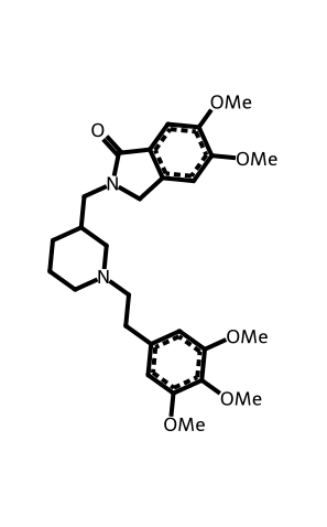 COc1cc2c(cc1OC)C(=O)N(CC1CCCN(CCc3cc(OC)c(OC)c(OC)c3)C1)C2